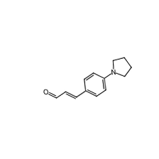 O=CC=Cc1ccc(N2CCCC2)cc1